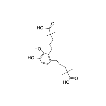 CC(C)(CCCc1ccc(O)c(O)c1CCCC(C)(C)C(=O)O)C(=O)O